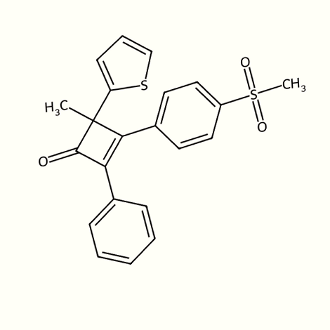 CC1(c2cccs2)C(=O)C(c2ccccc2)=C1c1ccc(S(C)(=O)=O)cc1